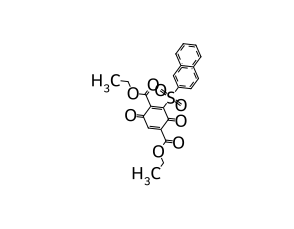 CCOC(=O)C1=CC(=O)C(C(=O)OCC)=C(S(=O)(=O)c2ccc3ccccc3c2)C1=O